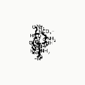 NC(=O)CC[C@H](NC(=O)[C@H](CCC(N)=O)NC(=O)CNC(=O)[C@H](Cc1c[nH]cn1)NC(=O)[C@H](Cc1c[nH]cn1)NC(=O)[C@@H](N)Cc1c[nH]cn1)C(=O)O